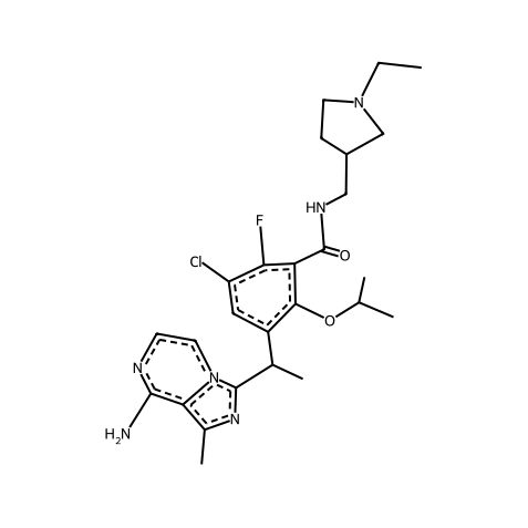 CCN1CCC(CNC(=O)c2c(F)c(Cl)cc(C(C)c3nc(C)c4c(N)nccn34)c2OC(C)C)C1